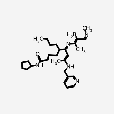 BC(/C=N\C)=C(C)\N=C(/C=C(\C)NCc1cccnc1)C(CCCC)CCCC(=O)NC1CCCC1